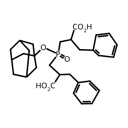 O=C(O)C(Cc1ccccc1)CP(=O)(CC(Cc1ccccc1)C(=O)O)OC12CC3CC(CC(C3)C1)C2